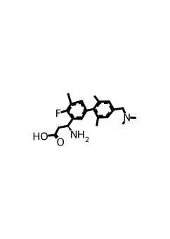 Cc1cc(-c2c(C)cc(CN(C)C)cc2C)cc([C@@H](N)CC(=O)O)c1F